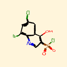 O=S(=O)(Cl)c1cnc2c(Br)cc(Cl)cc2c1O